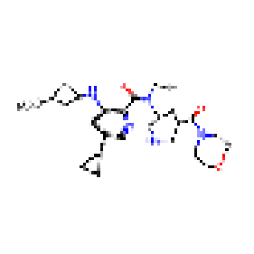 COC1CC(Nc2cc(C3CC3)cnc2C(=O)N(CC(C)C)C2CNCC(C(=O)N3CCOCC3)C2)C1